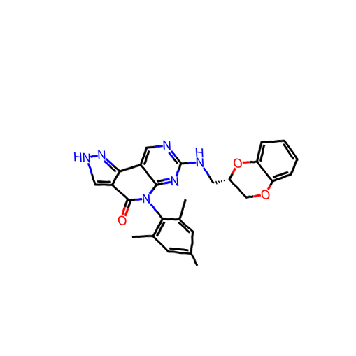 Cc1cc(C)c(-n2c(=O)c3c[nH]nc3c3cnc(NC[C@H]4COc5ccccc5O4)nc32)c(C)c1